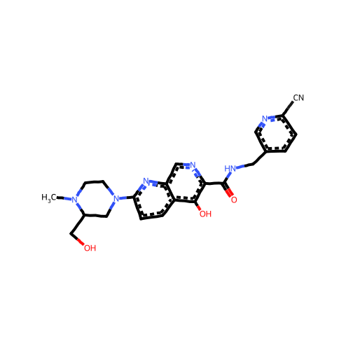 CN1CCN(c2ccc3c(O)c(C(=O)NCc4ccc(C#N)nc4)ncc3n2)CC1CO